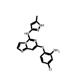 Cc1cc(Nc2nc(Sc3ccc(Cl)cc3N)cc3nccn23)n[nH]1